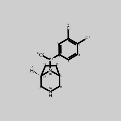 [O-][S+](c1ccc(F)c(Cl)c1)N1C2CC[C@@H]1CNC2